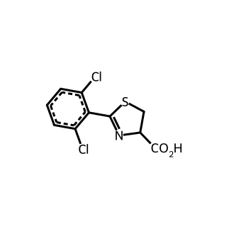 O=C(O)C1CSC(c2c(Cl)cccc2Cl)=N1